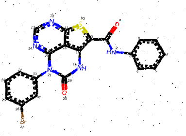 O=C(Nc1ccccc1)c1sc2ncnc3c2c1NC(=O)N3c1cccc(Br)c1